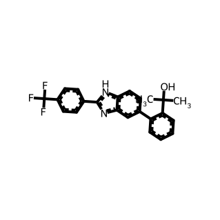 CC(C)(O)c1ccccc1-c1ccc2[nH]c(-c3ccc(C(F)(F)F)cc3)nc2c1